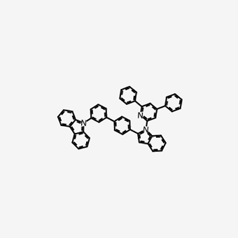 c1ccc(-c2cc(-c3ccccc3)nc(-n3c(-c4ccc(-c5cccc(-n6c7ccccc7c7ccccc76)c5)cc4)cc4ccccc43)c2)cc1